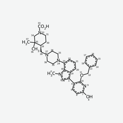 Cn1nc(-c2ccc(O)nc2OCc2ccccc2)c2cccc(N3CCN(C[C@@H]4CCN(C(=O)O)CC4(C)C)CC3)c21